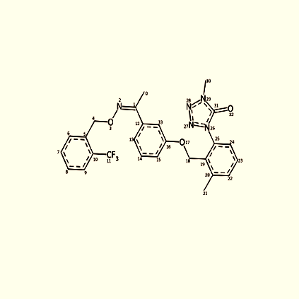 CC(=NOCc1ccccc1C(F)(F)F)c1cccc(OCc2c(C)cccc2-n2nnn(C)c2=O)c1